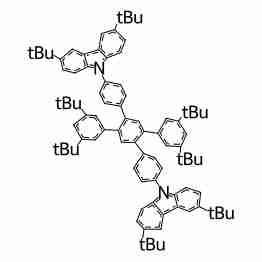 CC(C)(C)c1cc(-c2cc(-c3ccc(-n4c5ccc(C(C)(C)C)cc5c5cc(C(C)(C)C)ccc54)cc3)c(-c3cc(C(C)(C)C)cc(C(C)(C)C)c3)cc2-c2ccc(-n3c4ccc(C(C)(C)C)cc4c4cc(C(C)(C)C)ccc43)cc2)cc(C(C)(C)C)c1